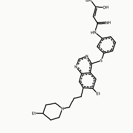 CCc1cc2c(Sc3cccc(NC(=N)/C=C(\O)C(C)(C)C)c3)ncnc2cc1CCCN1CCC(CC)CC1